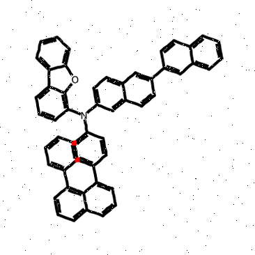 c1ccc(-c2cccc3cccc(-c4ccc(N(c5ccc6cc(-c7ccc8ccccc8c7)ccc6c5)c5cccc6c5oc5ccccc56)cc4)c23)cc1